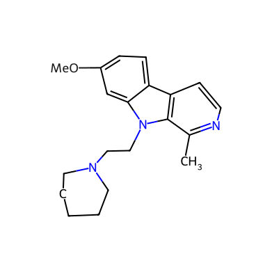 COc1ccc2c3ccnc(C)c3n(CCN3CCCCC3)c2c1